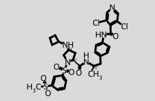 C[C@H](Cc1ccc(NC(=O)c2c(Cl)cncc2Cl)cc1)NC(=O)[C@@H]1C[C@@H](NC2CCC2)CN1S(=O)(=O)c1cccc(S(C)(=O)=O)c1